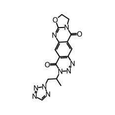 CC(Cn1ncnn1)n1nnc2cc3c(=O)n4c(nc3cc2c1=O)OCC4